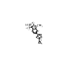 CN1C(=O)C(C)(C)c2ccc(-c3nnc(C4CC4)o3)cc21